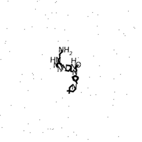 CC1(C)CCN(Cc2ccc(N3CC(=O)NC4(CCN(c5cc(NCCCN)ncn5)CC4)C3)cc2)CC1